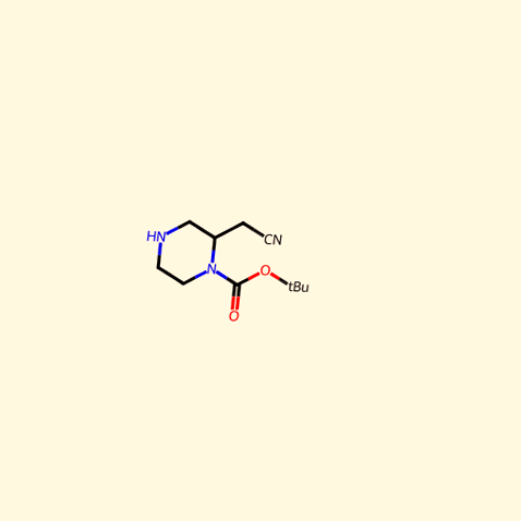 CC(C)(C)OC(=O)N1CCNCC1CC#N